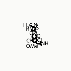 COC(c1cc(Cl)c2c(c1Cl)C(=O)N(Cc1c(=O)[nH]c(C)c3ncsc13)CC2)C1CNC1